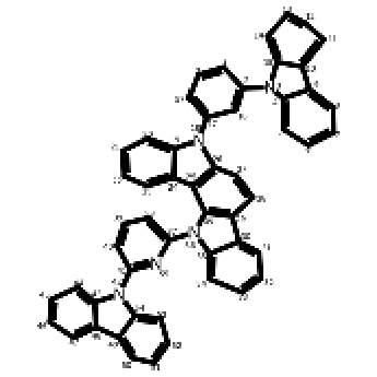 c1cc(-n2c3ccccc3c3ccccc32)cc(-n2c3ccccc3c3c2ccc2c4ccccc4n(-c4cccc(-n5c6ccccc6c6ccccc65)n4)c23)c1